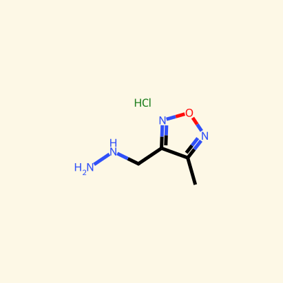 Cc1nonc1CNN.Cl